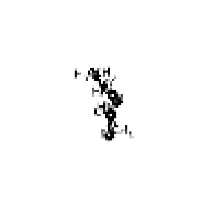 Cc1cccnc1COc1ccc(Nc2ccnc3ccc(NC(=O)CCCN(C)C)cc23)c(Cl)c1